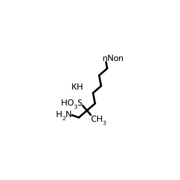 CCCCCCCCCCCCCCC(C)(CN)S(=O)(=O)O.[KH]